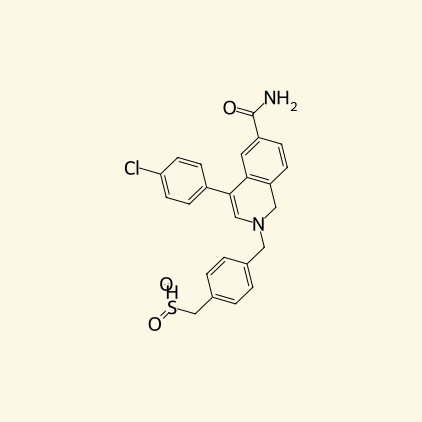 NC(=O)c1ccc2c(c1)C(c1ccc(Cl)cc1)=CN(Cc1ccc(C[SH](=O)=O)cc1)C2